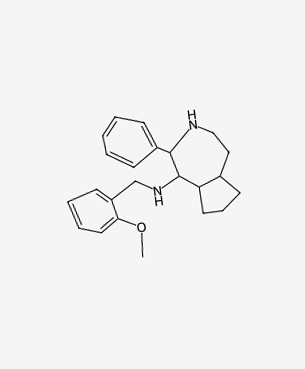 COc1ccccc1CNC1C(c2ccccc2)NCCC2CCCC21